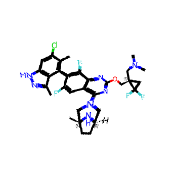 Cc1c(Cl)cc2[nH]nc(C)c2c1-c1c(F)cc2c(N3C[C@H]4CC[C@](C)(C3)N4)nc(OC[C@@]3(CN(C)C)CC3(F)F)nc2c1F